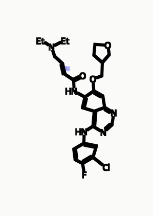 CCN(CC)C/C=C/C(=O)Nc1cc2c(Nc3ccc(F)c(Cl)c3)ncnc2cc1OCC1CCOC1